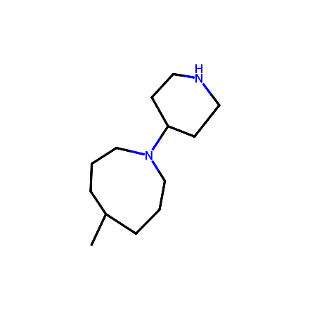 CC1CCCN(C2CCNCC2)CCC1